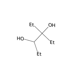 [CH2]CC(O)C(O)(CC)CC